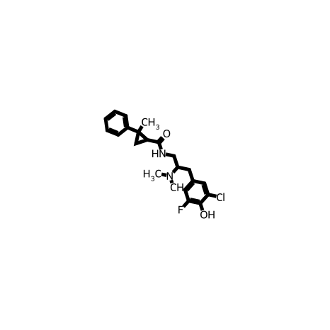 CN(C)C(CNC(=O)C1CC1(C)c1ccccc1)Cc1cc(F)c(O)c(Cl)c1